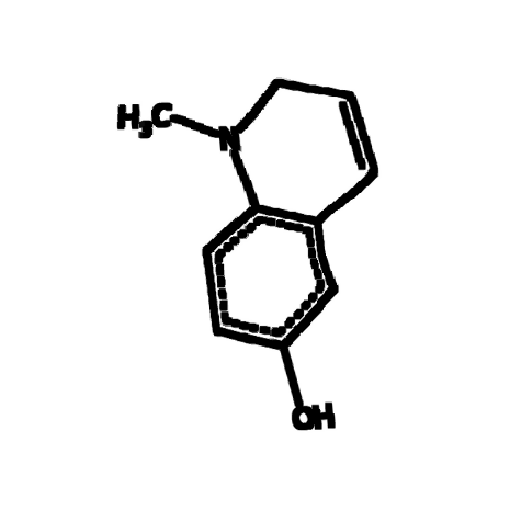 CN1CC=Cc2cc(O)ccc21